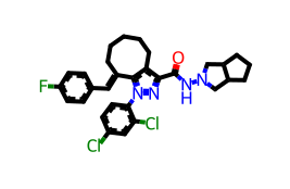 O=C(NN1CC2CCCC2C1)c1nn(-c2ccc(Cl)cc2Cl)c2c1CCCCC/C2=C\c1ccc(F)cc1